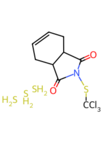 O=C1C2CC=CCC2C(=O)N1SC(Cl)(Cl)Cl.S.S.S